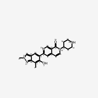 Cc1c(O)c(-c2cc3ccn(C4CCNCC4)c(=O)c3cn2)cc2cn(C)nc12